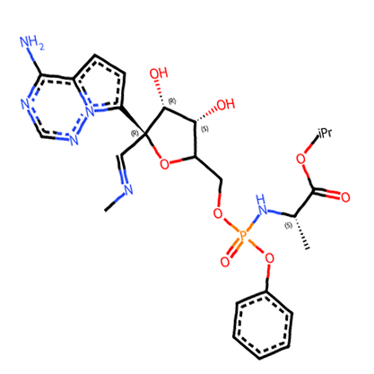 CN=C[C@@]1(c2ccc3c(N)ncnn23)OC(COP(=O)(N[C@@H](C)C(=O)OC(C)C)Oc2ccccc2)[C@@H](O)[C@H]1O